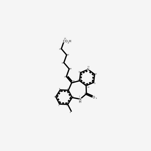 Cc1cccc2c1NC(=O)c1ccncc1C2=CCCCCC(=O)O